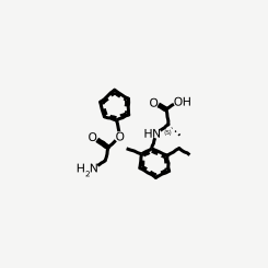 CCc1cccc(C)c1N[C@@H](C)C(=O)O.NCC(=O)Oc1ccccc1